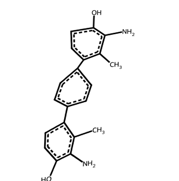 Cc1c(-c2ccc(-c3ccc(O)c(N)c3C)cc2)ccc(O)c1N